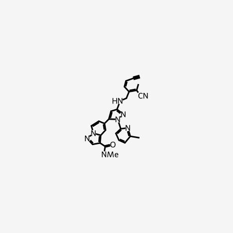 C#C/C=C\C(CNc1cc(-c2ccn3ncc(C(=O)NC)c3c2)n(-c2cccc(C)n2)n1)=C(/C)C#N